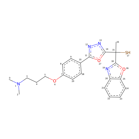 CN(C)CCCOc1ccc(-c2nnc(C(C)(S)c3nc4ccccc4o3)o2)cc1